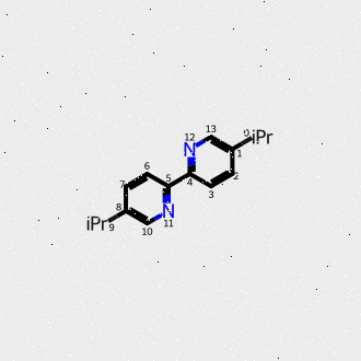 CC(C)c1ccc(-c2ccc(C(C)C)cn2)nc1